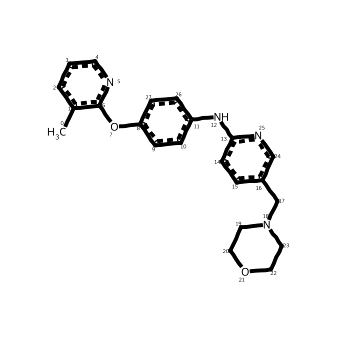 Cc1cccnc1Oc1ccc(Nc2ccc(CN3CCOCC3)cn2)cc1